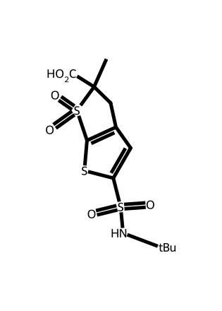 CC(C)(C)NS(=O)(=O)c1cc2c(s1)S(=O)(=O)C(C)(C(=O)O)C2